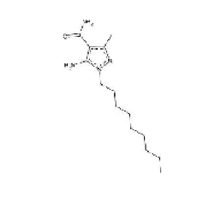 CCCCCCCCCn1nc(C)c(C(N)=O)c1N